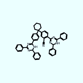 N#Cc1cc(C2(c3ccc(C4=NC(c5ccccc5)=NC(c5ccccc5)N4)cc3)CCCCC2)ccc1C1=NC(c2ccccc2)NC(c2ccccc2)=N1